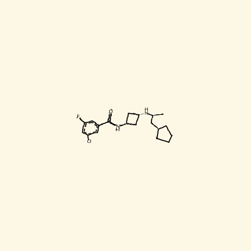 C[C@@H](CC1CCCC1)N[C@H]1C[C@H](NC(=O)c2cc(F)cc(Cl)c2)C1